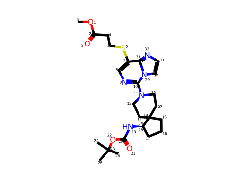 COC(=O)CCSc1cnc(N2CCC3(CCC[C@H]3NC(=O)OC(C)(C)C)CC2)n2ccnc12